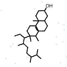 CCC(C(C)CCC(C)C(C)C)C1(C)CCC2=C(CCC3CC(O)CCC23C)C1C